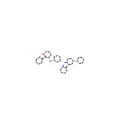 CC1(C)c2cc(-n3c4ccccc4c4cc(-c5ccccc5)ccc43)ccc2-c2ccc3oc4ccccc4c3c21